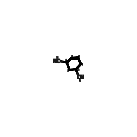 N#CC1C=CCC(C#N)C1